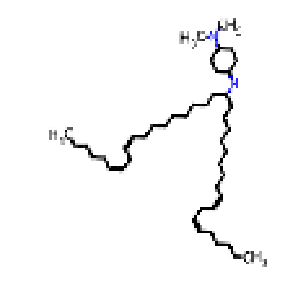 CCCCC/C=C\C/C=C\CCCCCCCCC(CCCCCCCC/C=C\C/C=C\CCCCC)N=C1CCC(N(C)C)CC1